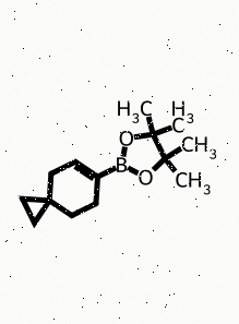 CC1(C)OB(C2=CCC3(CC2)CC3)OC1(C)C